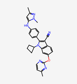 Cc1ccnc(Oc2ccc3c(C#N)c(-c4ccc(Nc5cc(C)nn5C)cc4)n(C4CCC4)c3c2)n1